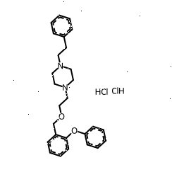 Cl.Cl.c1ccc(CCN2CCN(CCOCc3ccccc3Oc3ccccc3)CC2)cc1